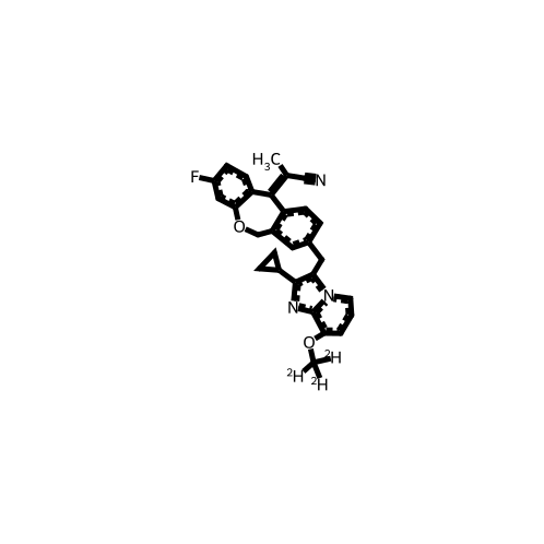 [2H]C([2H])([2H])Oc1cccn2c(Cc3ccc4c(c3)COc3cc(F)ccc3/C4=C(\C)C#N)c(C3CC3)nc12